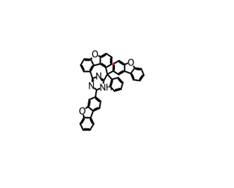 c1ccc(C2(c3ccc4oc5ccccc5c4c3)C3=NC(=NC(c4ccc5c(c4)oc4ccccc45)N3)c3cccc4oc5cccc2c5c34)cc1